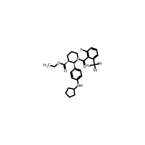 [2H]C([2H])([2H])c1cccc(F)c1C(=O)N1CCC[C@H](C(=O)OCC)[C@@H]1c1ccc(NC2CCCC2)cc1